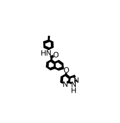 Cc1ccc(NC(=O)c2cccc3cc(Oc4ccnc5[nH]ncc45)ccc23)cc1